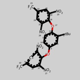 CC(C)(C)c1cc(Oc2c([N+](=O)[O-])cc(C(F)(F)F)cc2[N+](=O)[O-])ccc1Oc1c([N+](=O)[O-])cc(C(F)(F)F)cc1[N+](=O)[O-]